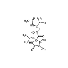 CC(=O)N[C@@H](CSC(=O)[C@]1([C@@H](O)C(C)C)NC(=O)[C@H](C)[C@@H]1O)C(C)=O